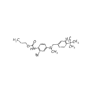 CCCOC(=O)Nc1ccc(N(C)Cc2ccc(C(C)(C)C)cc2)cc1Br